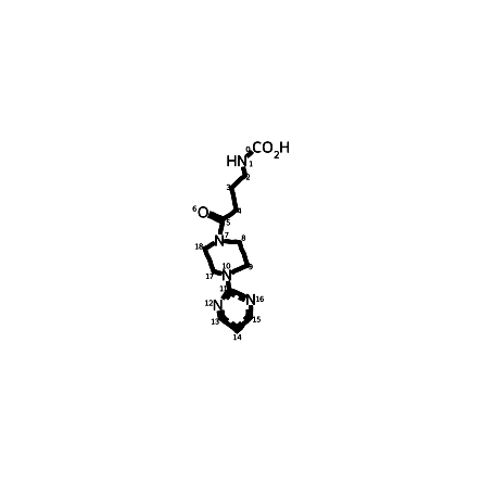 O=C(O)NCCCC(=O)N1CCN(c2ncccn2)CC1